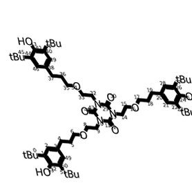 CC(C)(C)c1cc(CCCOCCn2c(=O)n(CCOCCCc3cc(C(C)(C)C)c(O)c(C(C)(C)C)c3)c(=O)n(CCOCCCc3cc(C(C)(C)C)c(O)c(C(C)(C)C)c3)c2=O)cc(C(C)(C)C)c1O